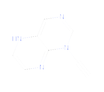 [C]#CN1[C]=NC=C2NC=CN=C21